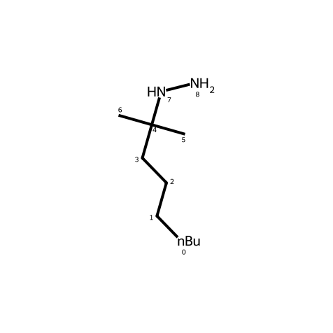 CCCCCCCC(C)(C)NN